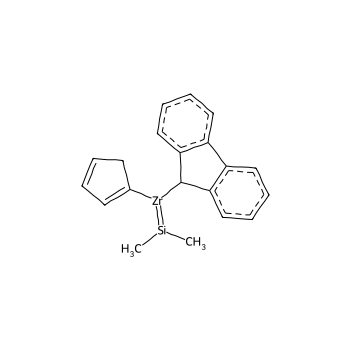 C[Si](C)=[Zr]([C]1=CC=CC1)[CH]1c2ccccc2-c2ccccc21